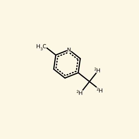 [2H]C([2H])([2H])c1ccc(C)nc1